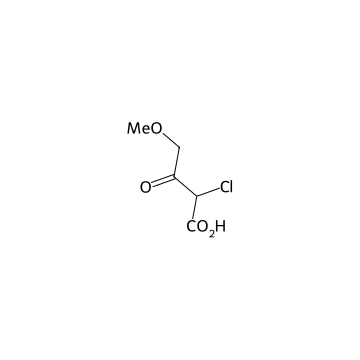 COCC(=O)C(Cl)C(=O)O